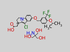 CC(C)Oc1ccc(COc2ccc3c(c2)c(Cl)c2n3CC[C@@H]2CC(=O)O)cc1C(F)(F)F.NC(CO)(CO)CO